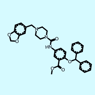 COC(=O)c1cc(NC(=O)N2CCN(Cc3ccc4c(c3)OCO4)CC2)ccc1OC(c1ccccc1)c1ccccc1